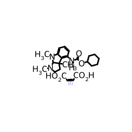 CN1CCC2(C)c3c(NC(=O)OC4CCCCC4)cccc3N(C)C12.O=C(O)/C=C\C(=O)O